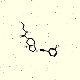 O=C(NCCCl)N1CCN2[C@@H](CC[C@H]2C#Cc2cccc(Cl)c2)C1